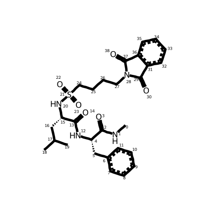 CNC(=O)[C@H](Cc1ccccc1)NC(=O)[C@H](CC(C)C)NS(=O)(=O)CCCCN1C(=O)c2ccccc2C1=O